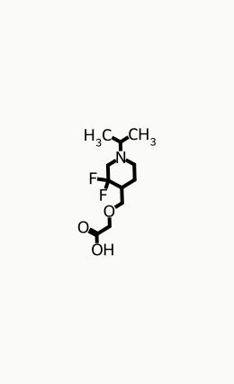 CC(C)N1CCC(COCC(=O)O)C(F)(F)C1